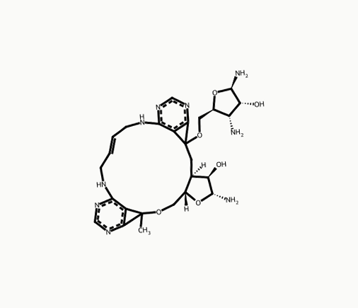 CC12OC[C@H]3O[C@@H](N)[C@H](O)[C@@H]3CC3(OC[C@H]4O[C@@H](N)[C@H](O)[C@@H]4N)c4ncnc(c43)NC/C=C/CNc3ncnc1c32